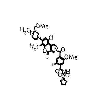 COC[C@H]1CN(c2cc(Cl)c3c4c(c(=O)oc3c2C)CN(C(=O)c2cc(F)c(C(=O)NS(=O)(=O)N3CCCC3)cc2OC)CC4)CCN1C